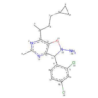 Cc1nc(C(C)CCC2CC2)c2c(n1)C(c1ccc(Cl)cc1Cl)N(N)O2